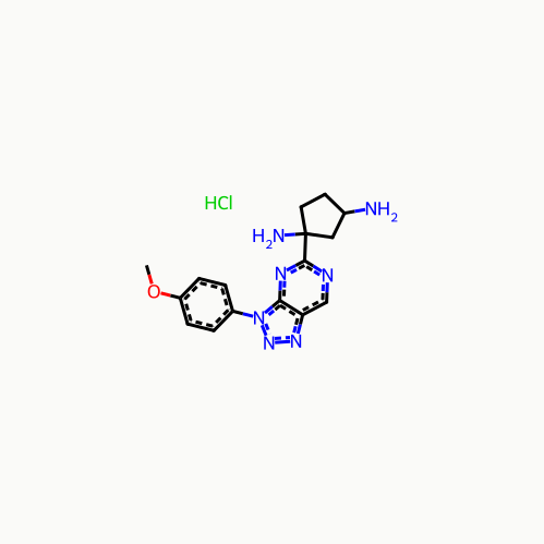 COc1ccc(-n2nnc3cnc(C4(N)CCC(N)C4)nc32)cc1.Cl